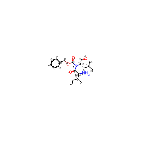 CC[C@H](C)[C@H](N)C(=O)N(C(=O)OCc1ccccc1)[C@H]([C]=O)CC(C)C